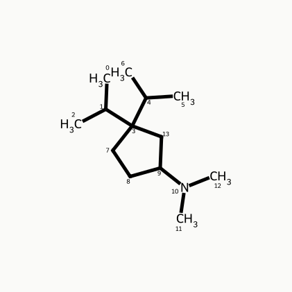 CC(C)C1(C(C)C)CCC(N(C)C)C1